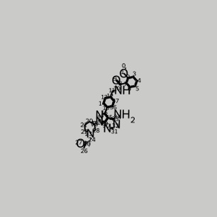 COc1ccccc1C(=O)NCc1ccc(-c2nn([C@@H]3CCCN(C[C@@H]4CO4)C3)c3ncnc(N)c23)cc1